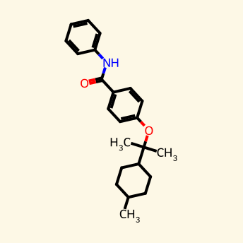 CC1CCC(C(C)(C)Oc2ccc(C(=O)Nc3ccccc3)cc2)CC1